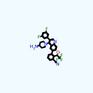 N#Cc1cccc(-c2ccc3ncc(-c4cc(F)cc(F)c4)c(N4CCC(N)CC4)c3c2)c1C([O])C(F)(F)F